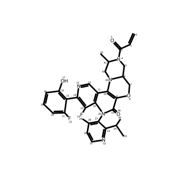 C=CC(=O)N1CC2COc3c(c4cnc(-c5c(O)cccc5F)c(F)c4n(-c4c(C)ccnc4C(C)C)c3=O)N2CC1C